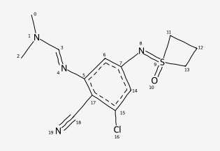 CN(C)C=Nc1cc(N=S2(=O)CCC2)cc(Cl)c1C#N